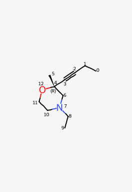 CCC#C[C@]1(C)CN(CC)CCO1